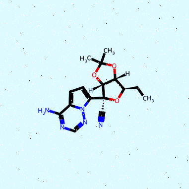 CC[C@H]1O[C@@](C#N)(c2ccc3c(N)ncnn23)[C@@H]2OC(C)(C)O[C@@H]21